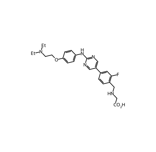 CCN(CC)CCOc1ccc(Nc2ncc(-c3ccc(CNCC(=O)O)c(F)c3)cn2)cc1